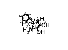 CN1C(O)=C(O)N(N)C1(C)Oc1ccccc1